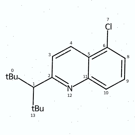 CC(C)(C)C(c1ccc2c(Cl)cccc2n1)C(C)(C)C